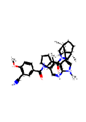 COc1ccc(C(=O)Nc2cnc3c(c([C@@H]4[C@@H]5CC[C@H]4CN(C(=O)C4CCCC4)C5)cn3C)c2C)cc1C#N